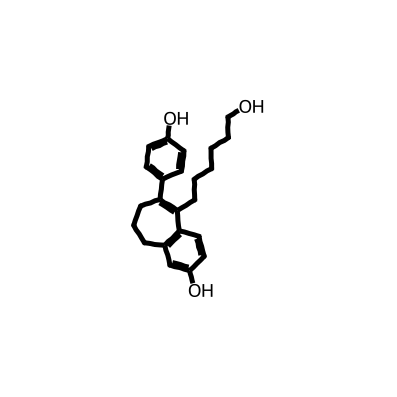 OCCCCCCC1=C(c2ccc(O)cc2)CCCc2cc(O)ccc21